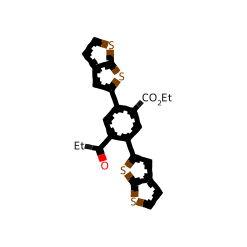 CCOC(=O)c1cc(-c2cc3ccsc3s2)c(C(=O)CC)cc1-c1cc2ccsc2s1